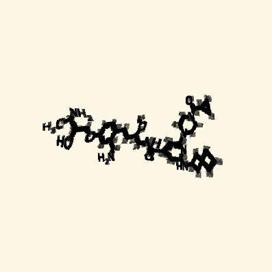 CC(N)C(O)COc1ccc(CCC(CNC(=O)c2cc(NC3CC4(CCC4)C3)nc(N3CCN(C(=O)C4CC4)CC3)c2)OI)c(CN)c1